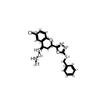 CCNO[SH]=C1CC(c2nnc(SCc3ccccc3)o2)Oc2ccc(Cl)cc21